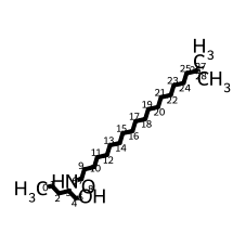 CCCC(CO)NC(=O)CCCCCCCCCCCCCCCCCC(C)C